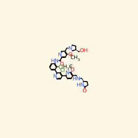 COc1cc(C(=O)Nc2cccc(-c3nccc(-c4ccc(CNC[C@H]5CCC(=O)N5)c(OC)n4)c3Cl)c2Cl)ncc1CN1CC[C@@H](CO)C1